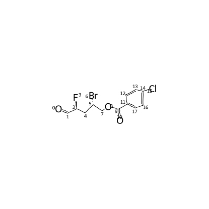 O=C[C@@H](F)C[C@H](Br)COC(=O)c1ccc(Cl)cc1